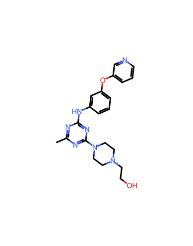 Cc1nc(Nc2cccc(Oc3cccnc3)c2)nc(N2CCN(CCO)CC2)n1